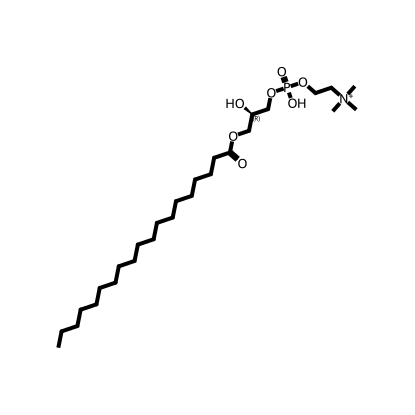 CCCCCCCCCCCCCCCCCCC(=O)OC[C@@H](O)COP(=O)(O)OCC[N+](C)(C)C